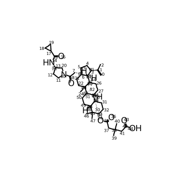 C=C(C)[C@@H]1CC[C@]2(CC(=O)N3CC[C@@H](NC(=O)C4CC4)C3)CC[C@]3(C)[C@H](CC[C@@H]4[C@@]5(C)CC[C@H](OC(=O)CC(C)(C)CC(=O)O)C(C)(C)[C@@H]5CC[C@]43C)[C@@H]12